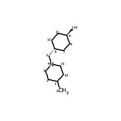 CC1CCN(C[C@H]2CC[C@H](I)CC2)CC1